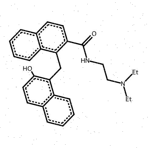 CCN(CC)CCNC(=O)c1ccc2ccccc2c1Cc1c(O)ccc2ccccc12